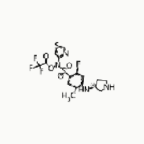 Cc1cc(S(=O)(=O)N(OC(=O)C(F)(F)F)c2cscn2)c(F)cc1N[C@H]1CCNC1